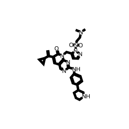 C=C(c1cc2cnc(Nc3ccc(C4CCCNC4)cc3)nc2n(Cc2ccnn2S(=O)(=O)CCN(C)C)c1=O)C1CC1